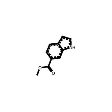 COC(=O)c1ccc2[c]c[nH]c2c1